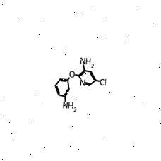 Nc1cccc(Oc2ncc(Cl)cc2N)c1